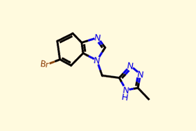 Cc1nnc(Cn2cnc3ccc(Br)cc32)[nH]1